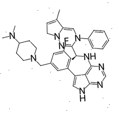 CC1=CCN2N=C([C@H](C)Nc3ncnc4[nH]cc(-c5cc(F)cc(CN6CCC(N(C)C)CC6)c5)c34)N(c3ccccc3)C=C12